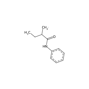 [CH2]C(CC)C(=O)Nc1ccccc1